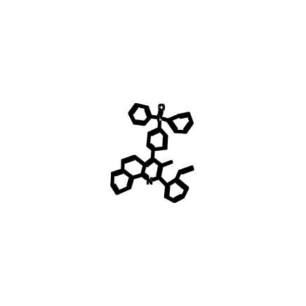 C=Cc1ccccc1-c1nc2c(ccc3ccccc32)c(-c2ccc(P(=O)(c3ccccc3)c3ccccc3)cc2)c1C